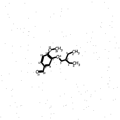 CCC(CC)COc1cc(C=O)ccc1OC